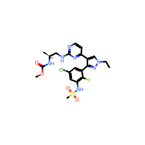 CCn1cc(-c2ccnc(NC[C@H](C)NC(=O)OC)n2)c(-c2cc(Cl)cc(NS(C)(=O)=O)c2F)n1